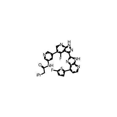 CC(C)CC(=O)Nc1cncc(-c2cnc3[nH]nc(-c4nc5c(-c6ccc(F)s6)ccnc5[nH]4)c3c2F)c1